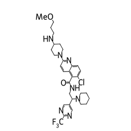 COCCCNC1CCN(c2ccc3c(C(=O)NCC(c4cnc(C(F)(F)F)nc4)N4CCCCC4)c(Cl)ccc3n2)CC1